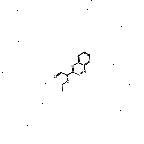 CCOC(C=O)c1nnc2ccccc2n1